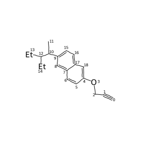 C#CCOc1ccc2cc(C(C)C(CC)CC)ccc2c1